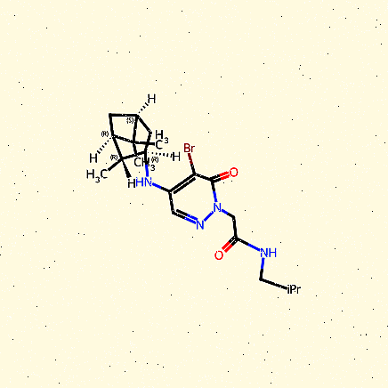 CC(C)CNC(=O)Cn1ncc(N[C@@H]2C[C@@H]3C[C@H]([C@H]2C)C3(C)C)c(Br)c1=O